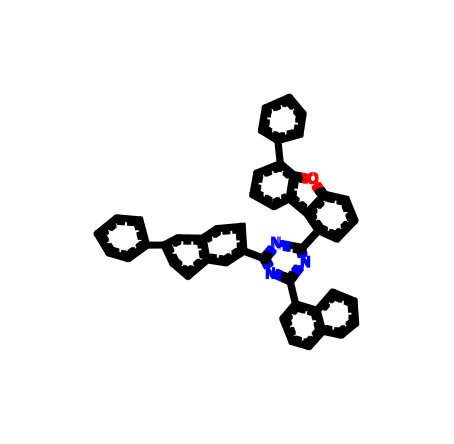 c1ccc(-c2ccc3cc(-c4nc(-c5cccc6ccccc56)nc(-c5cccc6oc7c(-c8ccccc8)cccc7c56)n4)ccc3c2)cc1